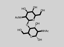 CC(=O)NC1[C@H](O)OC(CO)[C@@H](O[C@@H]2OC(CO)[C@H](O)[C@H](O)C2NC(C)=O)[C@@H]1O